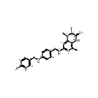 Cc1nc(NCc2ccc(OCc3ccc(F)nc3)cc2)nc2c1NC(=O)[C@H](C)N2C